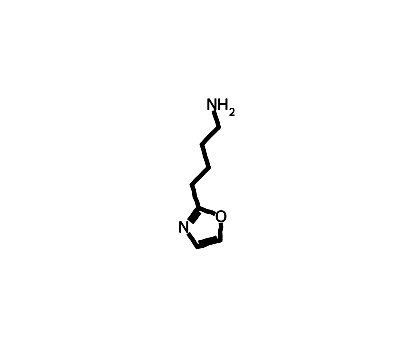 NCCCCc1ncco1